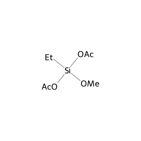 CC[Si](OC)(OC(C)=O)OC(C)=O